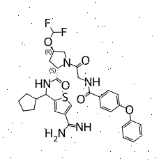 N=C(N)c1csc(C(NC(=O)[C@@H]2C[C@@H](OC(F)F)CN2C(=O)CNC(=O)c2ccc(Oc3ccccc3)cc2)C2CCCC2)c1